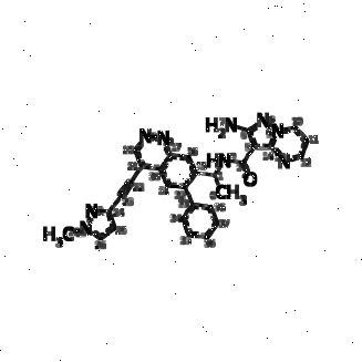 CC(NC(=O)c1c(N)nn2cccnc12)c1cc2nncc(C#Cc3ccn(C)n3)c2cc1-c1ccccc1